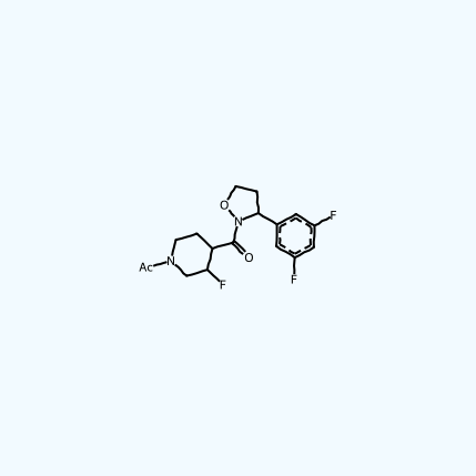 CC(=O)N1CCC(C(=O)N2OCCC2c2cc(F)cc(F)c2)C(F)C1